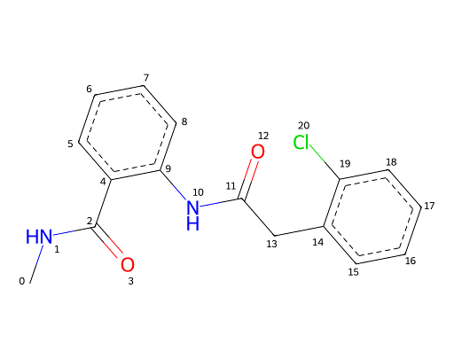 CNC(=O)c1ccccc1NC(=O)Cc1ccccc1Cl